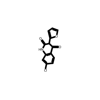 O=C1Nc2cc(Cl)ccc2C(=O)C1c1ccco1